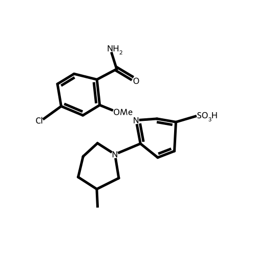 CC1CCCN(c2ccc(S(=O)(=O)O)cn2)C1.COc1cc(Cl)ccc1C(N)=O